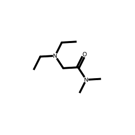 CCN(CC)CC(=O)N(C)C